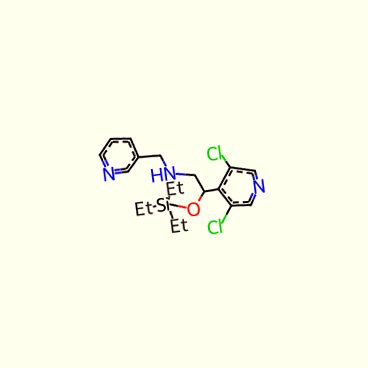 CC[Si](CC)(CC)OC(CNCc1cccnc1)c1c(Cl)cncc1Cl